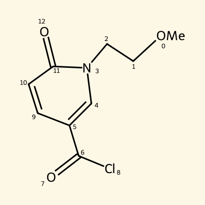 COCCn1cc(C(=O)Cl)ccc1=O